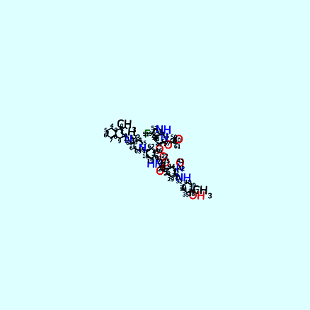 CC(C)c1ccccc1CCN1CC2(CCN(c3ccc(C(=O)NS(=O)(=O)c4ccc(NC[C@H]5CC[C@](C)(O)CC5)c(N=O)c4)c(Oc4cc5c(F)c[nH]c5nc4OC4COC4)c3)CC2)C1